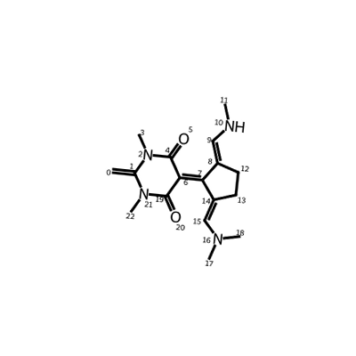 C=c1n(C)c(=O)c(=C2/C(=C/NC)CC/C2=C\N(C)C)c(=O)n1C